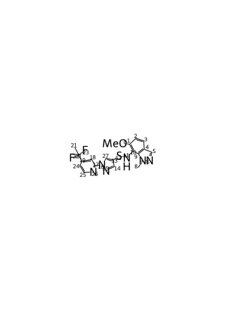 COc1ccc2cnn(C)c2c1NSc1cnn(-c2cc(C(C)(F)F)ccn2)c1